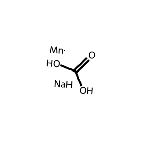 O=C(O)O.[Mn].[NaH]